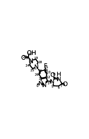 Cn1nc(N2CCC(=O)NC2=O)c2cc(F)c(N3CCN(C(=O)O)CC3)cc21